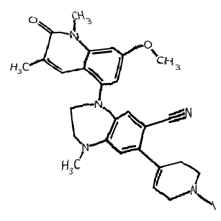 COc1cc(N2CCN(C)c3cc(C4=CCN(I)CC4)c(C#N)cc32)c2cc(C)c(=O)n(C)c2c1